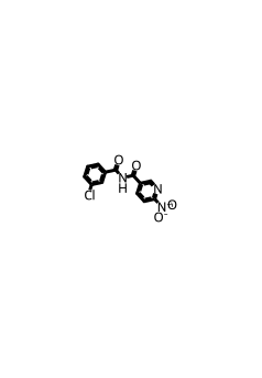 O=C(NC(=O)c1cccc(Cl)c1)c1ccc([N+](=O)[O-])nc1